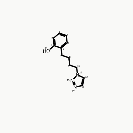 Oc1ccccc1CCCCn1ccnn1